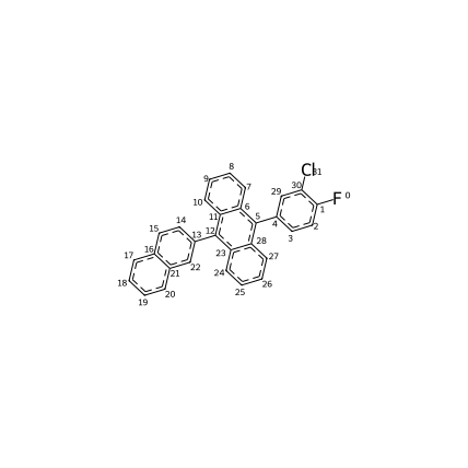 Fc1ccc(-c2c3ccccc3c(-c3ccc4ccccc4c3)c3ccccc23)cc1Cl